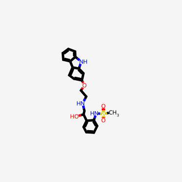 CS(=O)(=O)Nc1ccccc1C(O)CNCCOc1ccc2c(c1)[nH]c1ccccc12